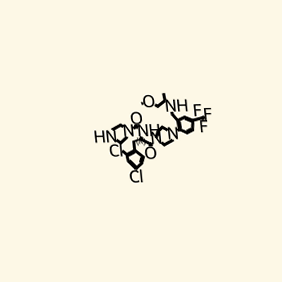 COCC(C)NCc1cc(C(F)(F)F)ccc1N1CCN(C(=O)[C@@H](Cc2ccc(Cl)cc2Cl)NC(=O)N2CCNCC2)CC1